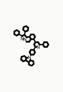 c1ccc(-c2cc(-c3cccc4c3ccn3nc(-c5ccccc5)c(-c5ccccc5)c43)cc(-c3ccc(-n4c5ccccc5c5ccccc54)cc3)n2)cc1